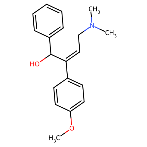 COc1ccc(C(=CCN(C)C)C(O)c2ccccc2)cc1